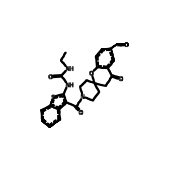 CCNC(=O)Nc1sc2ccccc2c1C(=O)N1CCC2(CC1)CC(=O)c1cc(C=O)ccc1O2